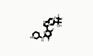 CC(O)(c1cn2c(-c3nc(NC4CCCNC4)c(F)cc3F)cnc2cn1)C(F)(F)F